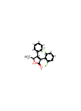 CC1OC(=O)C(c2c(F)cccc2F)=C1c1ccccc1